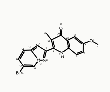 COc1ccc2[nH]c(-c3nc4ccc(Br)cn4n3)c(C)c(=O)c2c1